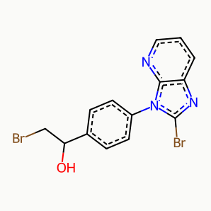 OC(CBr)c1ccc(-n2c(Br)nc3cccnc32)cc1